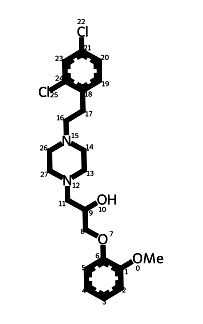 COc1ccccc1OCC(O)CN1C[CH]N(CCc2ccc(Cl)cc2Cl)CC1